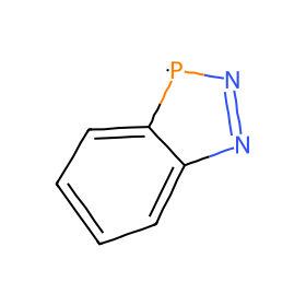 c1ccc2c(c1)N=N[P]2